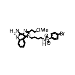 COCCc1nc2c(N)nc3ccccc3c2n1CCCCNS(=O)(=O)c1ccc(Br)cc1